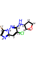 Clc1cc2ncc(Br)n2nc1N[C@H]1CCOC1